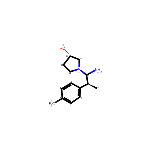 C[C@@H](c1ccc(C(F)(F)F)cc1)C(N)N1CC[C@H](O)C1